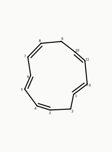 [C]1=C/C\C=C/C=C/C=C\C\C=C/1